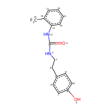 O=C(NCCc1ccc(O)cc1)Nc1ccccc1C(F)(F)F